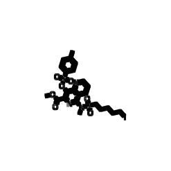 COC(=O)c1nc(N(C)S(=O)(=O)CCCCCI)c2cccnc2c1OS(=O)(=O)c1ccc(C)cc1